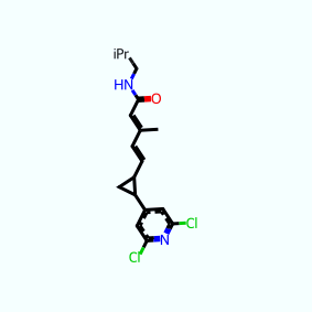 CC(/C=C/C1CC1c1cc(Cl)nc(Cl)c1)=C\C(=O)NCC(C)C